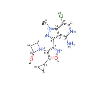 CC(C)n1nc(-c2noc(C3CC3)c2N2CCC2=O)c2c(N)ncc(Cl)c21